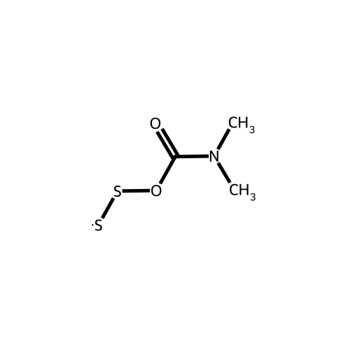 CN(C)C(=O)OS[S]